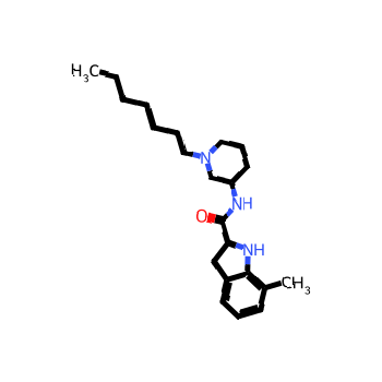 CCCCCCCN1CCCC(NC(=O)C2Cc3cccc(C)c3N2)C1